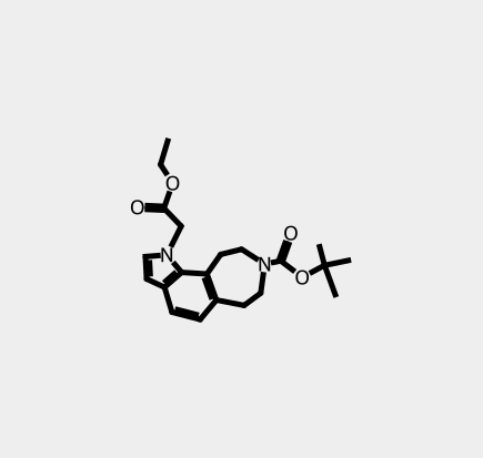 CCOC(=O)Cn1ccc2ccc3c(c21)CCN(C(=O)OC(C)(C)C)CC3